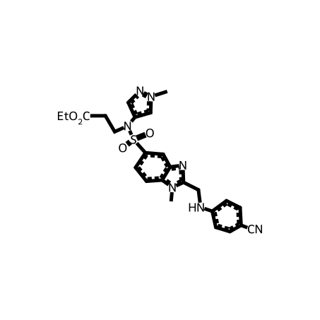 CCOC(=O)CCN(c1cnn(C)c1)S(=O)(=O)c1ccc2c(c1)nc(CNc1ccc(C#N)cc1)n2C